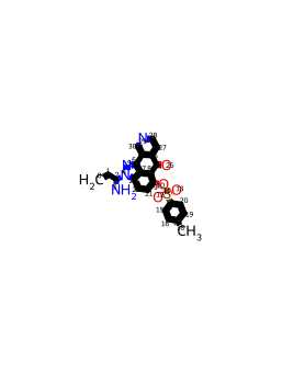 C=CC(N)n1nc2c3c(c(OS(=O)(=O)c4ccc(C)cc4)ccc31)C(=O)c1ccncc1-2